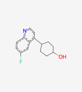 OC1CCC(c2ccnc3ccc(F)cc23)CC1